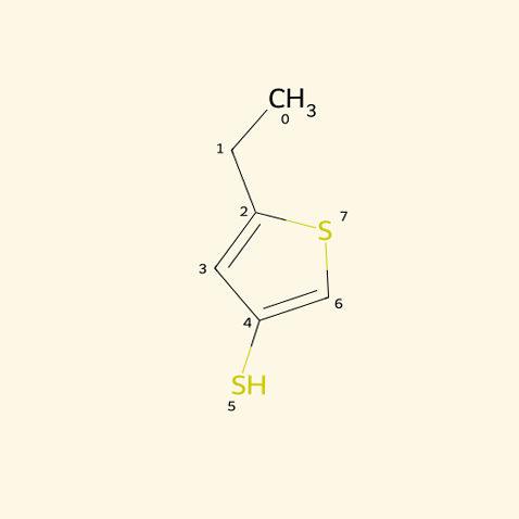 CCc1cc(S)cs1